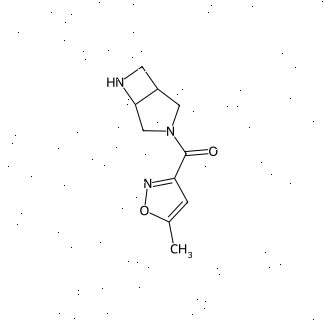 Cc1cc(C(=O)N2CC3CNC3C2)no1